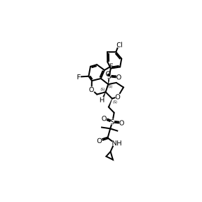 CC(C)(C(=O)NC1CC1)S(=O)(=O)CC[C@@H]1OCC[C@@]2(S(=O)(=O)c3ccc(Cl)cc3)c3c(F)ccc(F)c3OC[C@@H]12